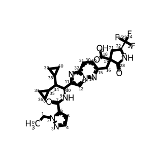 CCn1nccc1C(=O)N[C@H](c1cn2nc(CC3(C(=O)O)C[C@@H](C(F)(F)F)NC3=O)ccc2n1)C(C1CC1)C1CC1